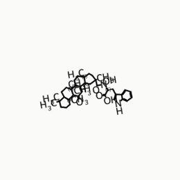 CC1(C(=O)N(O)[C@@H](Cc2c[nH]c3ccccc23)C(=O)O)CC[C@]2(C)CC[C@]3(C)C(=CC(=O)C4[C@@]5(C)CCCC(C)(C)C5CC[C@]43C)[C@@H]2C1